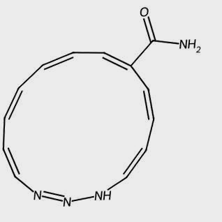 NC(=O)C1=CC=CC=CC=CN=NNC=CC=C1